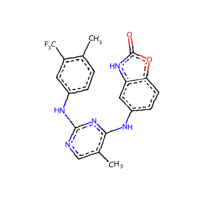 Cc1ccc(Nc2ncc(C)c(Nc3ccc4oc(=O)[nH]c4c3)n2)cc1C(F)(F)F